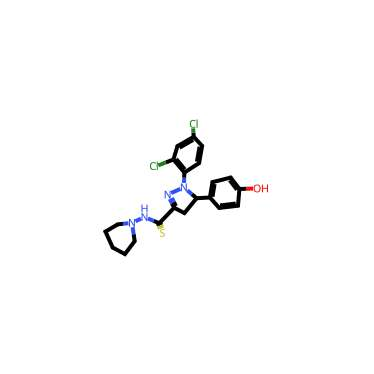 Oc1ccc(C2CC(C(=S)NN3CCCCC3)=NN2c2ccc(Cl)cc2Cl)cc1